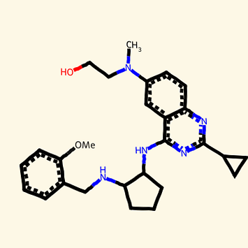 COc1ccccc1CNC1CCCC1Nc1nc(C2CC2)nc2ccc(N(C)CCO)cc12